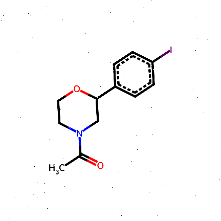 CC(=O)N1CCOC(c2ccc(I)cc2)C1